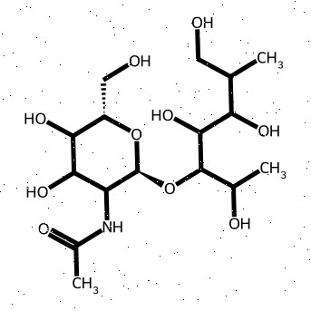 CC(=O)NC1C(O)C(O)[C@H](CO)O[C@H]1OC(C(C)O)C(O)C(O)C(C)CO